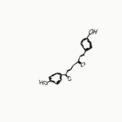 O=C(/C=C/c1ccc(O)cc1)CC=CC(=O)c1ccc(O)cc1